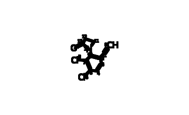 C#Cc1ccc(Cl)c(Cl)c1N1CCC1=O